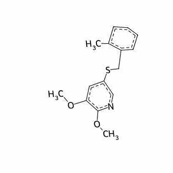 COc1cc(SCc2ccccc2C)cnc1OC